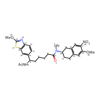 CCCN(C(=O)CCCCC(NC(C)=O)c1ccc2nc(OC)sc2c1)[C@@H]1CCc2cc(OC)c([N+](=O)[O-])cc2C1